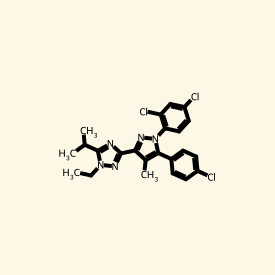 CCn1nc(-c2nn(-c3ccc(Cl)cc3Cl)c(-c3ccc(Cl)cc3)c2C)nc1C(C)C